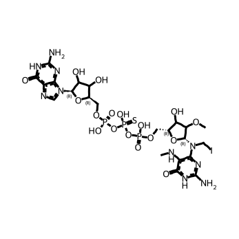 CNc1c(N(CI)[C@@H]2O[C@H](COP(=O)(O)OP(O)(=S)OP(=O)(O)OC[C@H]3O[C@@H](n4cnc5c(=O)[nH]c(N)nc54)C(O)C3O)C(O)C2OC)nc(N)[nH]c1=O